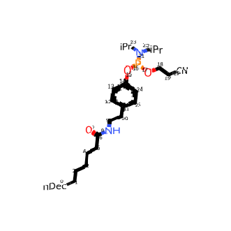 CCCCCCCCCCCCCCCC(=O)NCCc1ccc(OP(OCCC#N)N(C(C)C)C(C)C)cc1